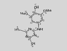 COc1cc(Nc2nc(S)nc(S)n2)cc(OC)c1O